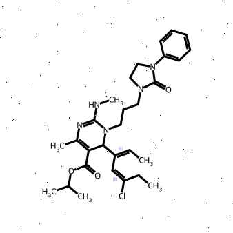 C/C=C(\C=C(\Cl)CC)C1C(C(=O)OC(C)C)=C(C)N=C(NC)N1CCCN1CCN(c2ccccc2)C1=O